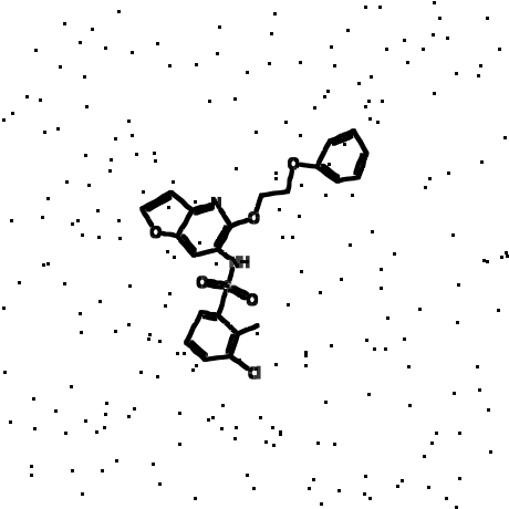 Cc1c(Cl)cccc1S(=O)(=O)Nc1cc2occc2nc1OCCOc1ccccc1